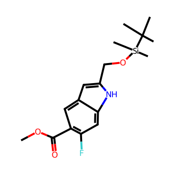 COC(=O)c1cc2cc(CO[Si](C)(C)C(C)(C)C)[nH]c2cc1F